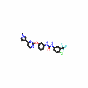 Cn1ccc(-c2ccnc(Oc3cccc(NC(=O)Nc4ccc(Cl)c(C(F)(F)F)c4)c3)n2)c1